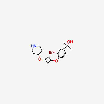 CC(C)(O)c1ccc(OC2CC(OC3CCNCC3)C2)c(Br)c1